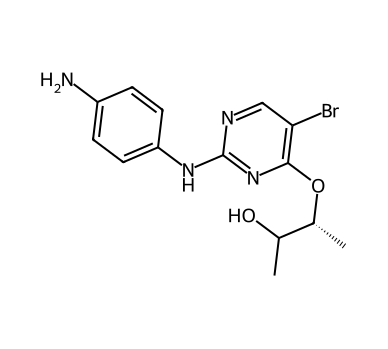 CC(O)[C@@H](C)Oc1nc(Nc2ccc(N)cc2)ncc1Br